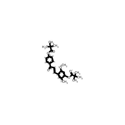 COc1cc(OC(=O)C(C)(C)C)c(C)cc1C=CC(=O)c1ccc(OC(=O)C(C)(C)C)cc1